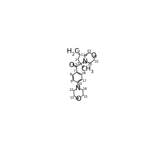 C=CCC(C)(C(=O)c1ccc(N2CCOCC2)cc1)N1CCOCC1